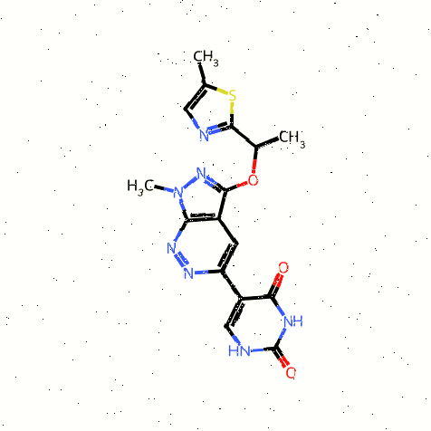 Cc1cnc(C(C)Oc2nn(C)c3nnc(-c4c[nH]c(=O)[nH]c4=O)cc23)s1